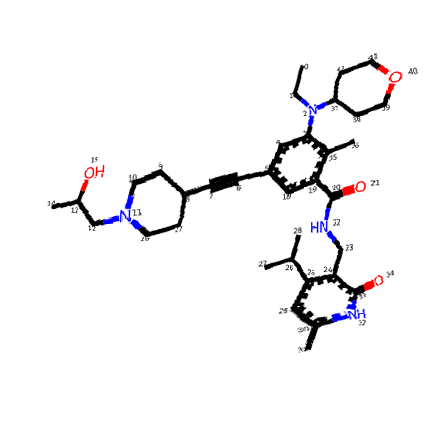 CCN(c1cc(C#CC2CCN(CC(C)O)CC2)cc(C(=O)NCc2c(C(C)C)cc(C)[nH]c2=O)c1C)C1CCOCC1